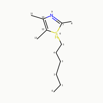 CCCCCC[SH]1C(C)=NC(C)=C1C